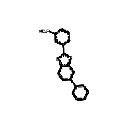 O=C(O)c1cccc(-c2nc3ccc(-c4ccccc4)cc3o2)c1